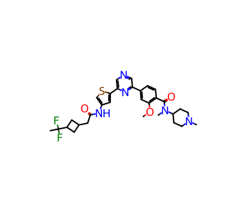 COc1cc(-c2cncc(-c3cc(NC(=O)CC4CC(C(C)(F)F)C4)cs3)n2)ccc1C(=O)N(C)C1CCN(C)CC1